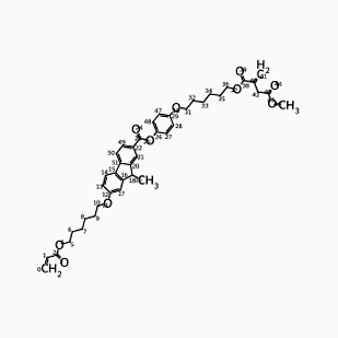 C=CC(=O)OCCCCCCOc1ccc2c(c1)C(C)c1cc(C(=O)Oc3ccc(OCCCCCCOC(=O)C(=C)CC(=O)OC)cc3)ccc1-2